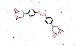 c1cc(N(CC2CO2)CC2CO2)ccc1OCOc1ccc(N(CC2CO2)CC2CO2)cc1